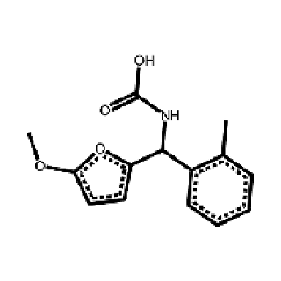 COc1ccc(C(NC(=O)O)c2ccccc2C)o1